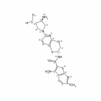 Cc1ccc2c(N)c(C(=O)N[C@H]3COc4nc(N5C[C@H](C(F)F)[C@@H](N)C5)ccc4C3)sc2n1